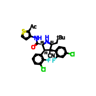 CC(=O)c1sccc1NC(=O)[C@@H]1N[C@@H](CC(C)(C)C)[C@](C#N)(c2ccc(Cl)cc2F)[C@H]1c1cccc(Cl)c1F